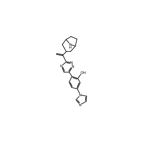 C=C(c1ncc(-c2ccc(-n3ccnc3)cc2O)nn1)C1CC2CCC(C1)N2